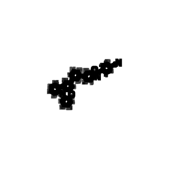 N#Cc1ccc(-c2nc3ccc(-c4cccc(-c5cc6c7c(c5)c5ccccc5n7-c5ccccc5O6)c4)cc3o2)cc1